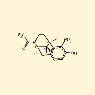 C[C@@H]1[C@H]2Cc3ccc(O)c([N+](=O)[O-])c3[C@]1(C)CCN2C(=O)C(F)(F)F